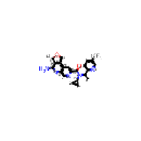 CC(c1ccc(C(F)(F)F)cn1)N(C(=O)c1cc2c3c(c(N)nc2cn1)[C@H](C)OC3)C1CC1